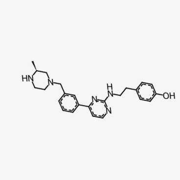 C[C@H]1CN(Cc2cccc(-c3ccnc(NCCc4ccc(O)cc4)n3)c2)CCN1